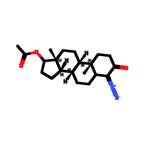 CC(=O)OC1CC[C@H]2[C@@H]3CCC4C(=[N+]=[N-])C(=O)CC[C@]4(C)[C@@H]3CC[C@]12C